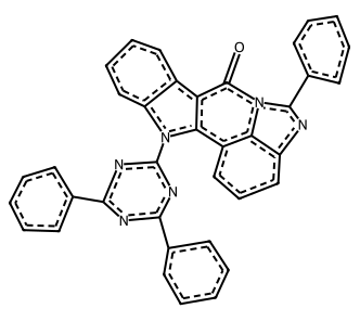 O=c1c2c3ccccc3n(-c3nc(-c4ccccc4)nc(-c4ccccc4)n3)c2c2cccc3nc(-c4ccccc4)n1c32